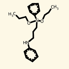 CCCO[Si](CCCNc1ccccc1)(OCCC)c1ccccc1